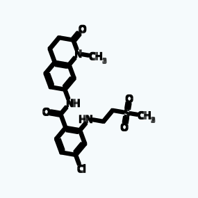 CN1C(=O)CCc2ccc(NC(=O)c3ccc(Cl)cc3NCCS(C)(=O)=O)cc21